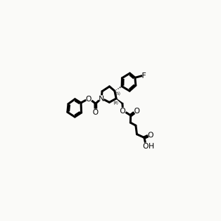 O=C(O)CCCC(=O)OC[C@H]1CN(C(=O)Oc2ccccc2)CC[C@@H]1c1ccc(F)cc1